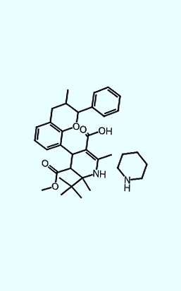 C1CCNCC1.COC(=O)C1C(c2cccc3c2OC(c2ccccc2)C(C)C3)C(C(=O)O)=C(C)NC1(C)C(C)(C)C